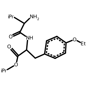 CCOc1ccc(CC(NC(=O)C(N)C(C)C)C(=O)OC(C)C)cc1